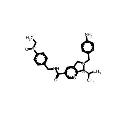 CC[S+]([O-])c1ccc(CNC(=O)c2cnc3c(c2)CN(Cc2ccc(N)cc2)[C@H]3C(C)C)cc1